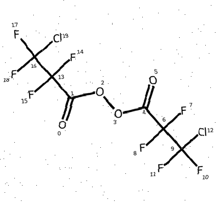 O=C(OOC(=O)C(F)(F)C(F)(F)Cl)C(F)(F)C(F)(F)Cl